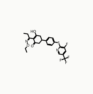 CCO/N=C(/CC)C1=C(O)CC(c2ccc(Sc3ncc(C(F)(F)F)cc3F)cc2)CC1=O